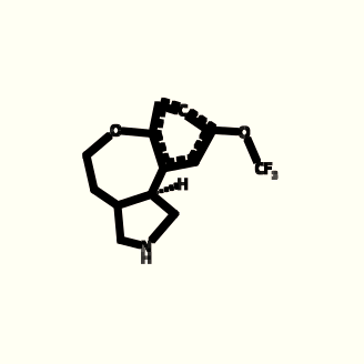 FC(F)(F)Oc1ccc2c(c1)[C@H]1CNCC1CCO2